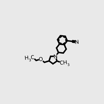 CCOCC1CC(C)N(C2CCc3c(C#N)cccc3C2)C1